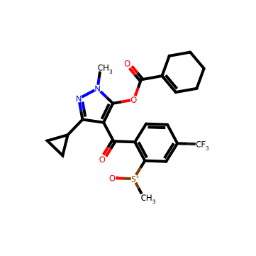 Cn1nc(C2CC2)c(C(=O)c2ccc(C(F)(F)F)cc2[S+](C)[O-])c1OC(=O)C1=CCCCC1